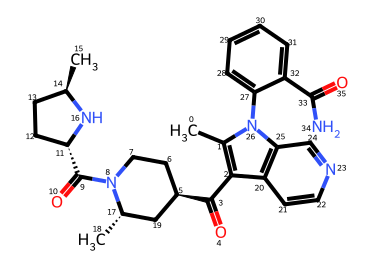 Cc1c(C(=O)[C@@H]2CCN(C(=O)[C@@H]3CC[C@@H](C)N3)[C@@H](C)C2)c2ccncc2n1-c1ccccc1C(N)=O